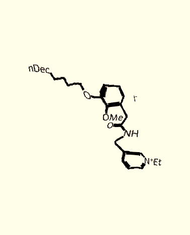 CCCCCCCCCCCCCCOc1cccc(CC(=O)NCc2ccc[n+](CC)c2)c1OC.[I-]